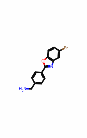 NCc1ccc(-c2nc3cc(Br)ccc3o2)cc1